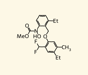 CCc1cc(C(F)F)c(OCc2c(CC)cccc2N(O)C(=O)OC)cc1C